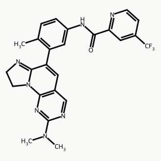 Cc1ccc(NC(=O)c2cc(C(F)(F)F)ccn2)cc1C1=Cc2cnc(N(C)C)nc2N2CCN=C12